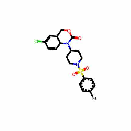 CCc1ccc(S(=O)(=O)N2CCC(N3C(=O)OCC4C=C(Cl)C=CC43)CC2)cc1